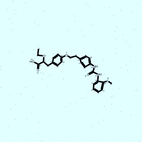 CCOC(Cc1ccc(OCCc2ccc(NC(=S)Nc3ccccc3SC)cc2)cc1)C(=O)O